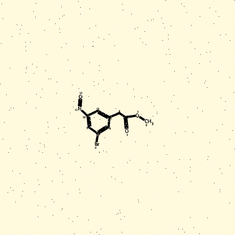 COC(=O)Cc1cc(Br)cc(N=O)c1